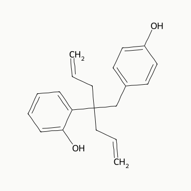 C=CCC(CC=C)(Cc1ccc(O)cc1)c1ccccc1O